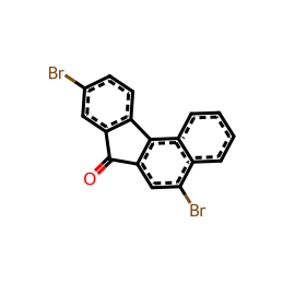 O=C1c2cc(Br)ccc2-c2c1cc(Br)c1ccccc21